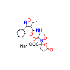 CC1ON=C(c2ccccc2)C1C(=O)N[C@H]1CON(C2(C(=O)[O-])CCC(=O)O2)C1=O.[Na+]